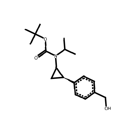 CC(C)N(C(=O)OC(C)(C)C)C1C[C@@H]1c1ccc(CO)cc1